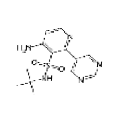 CC(C)(C)NS(=O)(=O)c1c(N)ccnc1-c1cncnc1